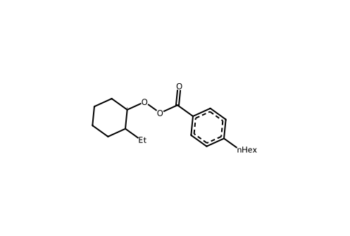 CCCCCCc1ccc(C(=O)OO[C]2CCCCC2CC)cc1